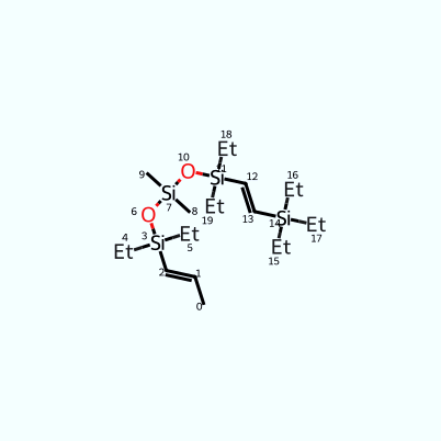 CC=C[Si](CC)(CC)O[Si](C)(C)O[Si](C=C[Si](CC)(CC)CC)(CC)CC